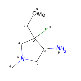 COCC1(F)CN(C)CC1N